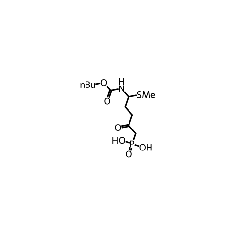 CCCCOC(=O)NC(CCC(=O)CP(=O)(O)O)SC